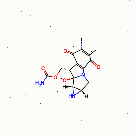 CO[C@@]12[C@H](COC(N)=O)C3=C(C(=O)C(C)=C(I)C3=O)N1C[C@@H]1N[C@@H]12